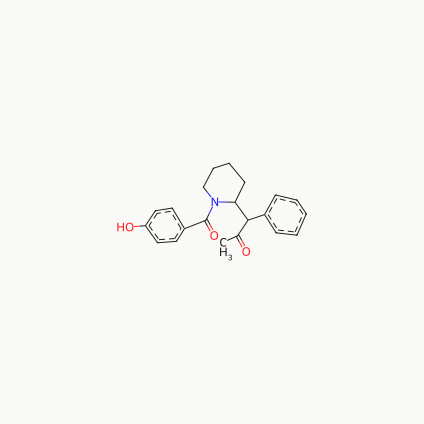 CC(=O)C(c1ccccc1)C1CCCCN1C(=O)c1ccc(O)cc1